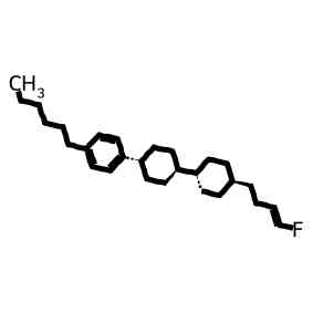 CCCCCCc1ccc([C@H]2CC[C@H]([C@H]3CC[C@H](CCC=CF)CC3)CC2)cc1